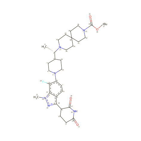 C[C@@H](C1CCN(c2ccc3c(C4CCC(=O)NC4=O)nn(C)c3c2F)CC1)N1CCC2(CCN(C(=O)OC(C)(C)C)CC2)CC1